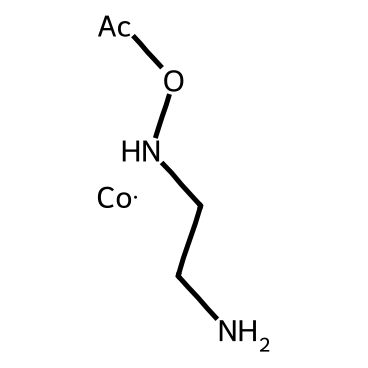 CC(=O)ONCCN.[Co]